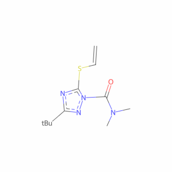 C=CSc1nc(C(C)(C)C)nn1C(=O)N(C)C